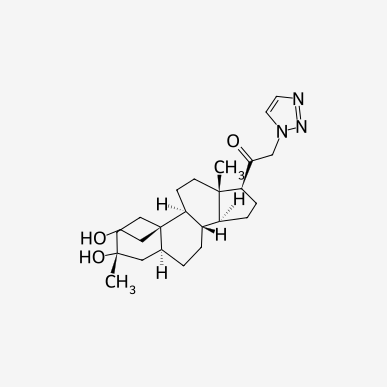 C[C@@]1(O)CC[C@@]2(CCO)[C@@H](CC[C@H]3[C@@H]4CC[C@H](C(=O)Cn5ccnn5)[C@@]4(C)CC[C@@H]32)C1